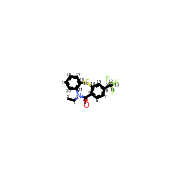 CCN1C(=O)c2ccc(C(F)(F)F)cc2Sc2ccccc21